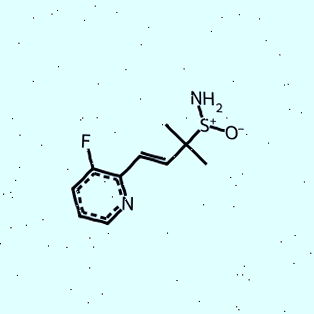 CC(C)(C=Cc1ncccc1F)[S+](N)[O-]